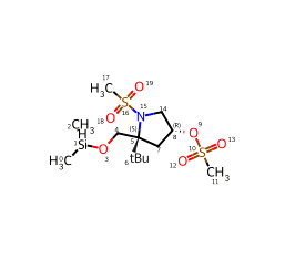 C[SiH](C)OC[C@@]1(C(C)(C)C)C[C@@H](OS(C)(=O)=O)CN1S(C)(=O)=O